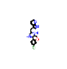 Clc1ccc2c(c1)OCC1NC(Cc3c[nH]c4ncccc34)CNC21